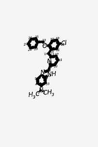 CN(C)c1ccc2nc(-c3cccc(Cc4cc(Cl)ccc4OCc4ccccc4)n3)[nH]c2c1